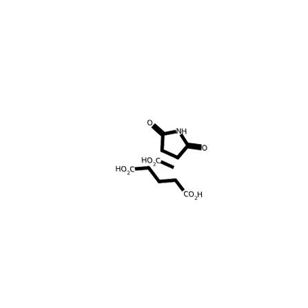 CC(=O)O.O=C(O)CCCC(=O)O.O=C1CCC(=O)N1